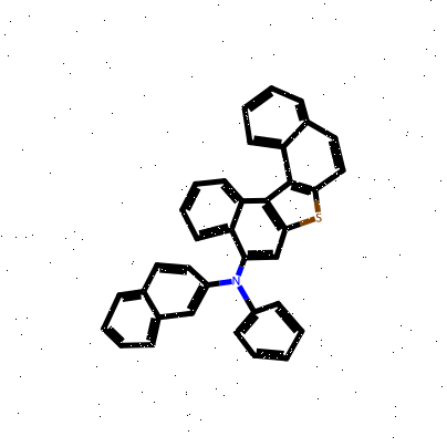 c1ccc(N(c2ccc3ccccc3c2)c2cc3sc4ccc5ccccc5c4c3c3ccccc23)cc1